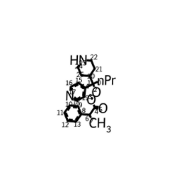 CCCC(OOC(=O)C(C)c1ccccc1)(c1ccncc1)C1CCNCC1